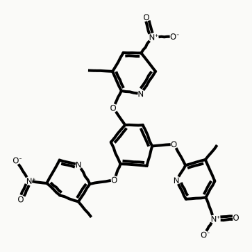 Cc1cc([N+](=O)[O-])cnc1Oc1cc(Oc2ncc([N+](=O)[O-])cc2C)cc(Oc2ncc([N+](=O)[O-])cc2C)c1